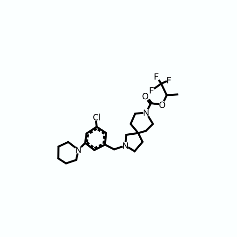 CC(OC(=O)N1CCC2(CCN(Cc3cc(Cl)cc(N4CCCCC4)c3)C2)CC1)C(F)(F)F